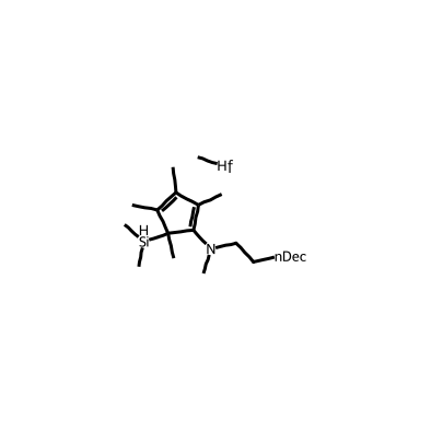 CCCCCCCCCCCCN(C)C1=C(C)C(C)=C(C)C1(C)[SiH](C)C.[CH3][Hf]